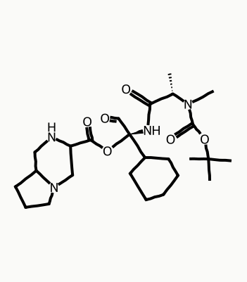 C[C@@H](C(=O)N[C@](C=O)(OC(=O)C1CN2CCCC2CN1)C1CCCCC1)N(C)C(=O)OC(C)(C)C